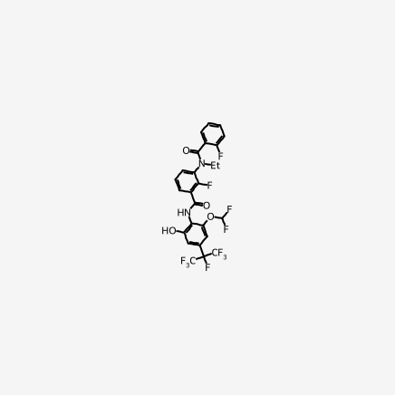 CCN(C(=O)c1ccccc1F)c1cccc(C(=O)Nc2c(O)cc(C(F)(C(F)(F)F)C(F)(F)F)cc2OC(F)F)c1F